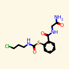 NC(=O)CNC(=O)c1ccccc1SC(=O)NCCCCl